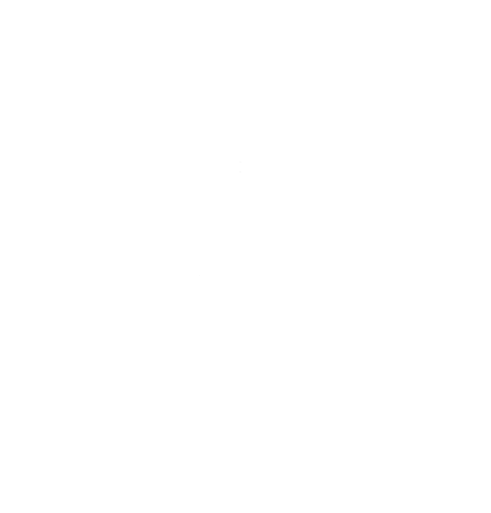 CC1C[CH]CCC1CC1CC[CH]CC1C